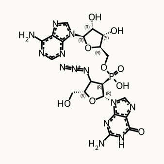 [N-]=[N+]=NC1[C@@H](P(=O)(O)OC[C@H]2O[C@@H](n3cnc4c(N)ncnc43)[C@H](O)[C@@H]2O)[C@H](n2cnc3c(=O)[nH]c(N)nc32)O[C@@H]1CO